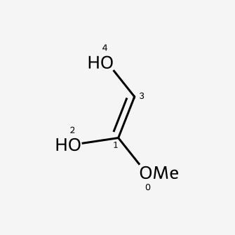 CO/C(O)=C/O